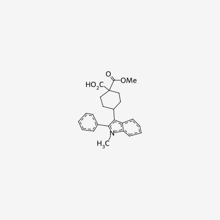 COC(=O)C1(C(=O)O)CCC(c2c(-c3ccccc3)n(C)c3ccccc23)CC1